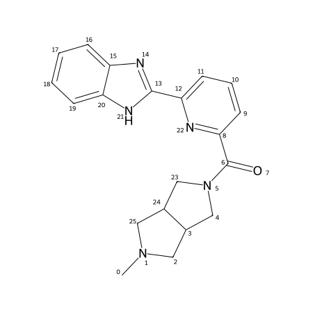 CN1CC2CN(C(=O)c3cccc(-c4nc5ccccc5[nH]4)n3)CC2C1